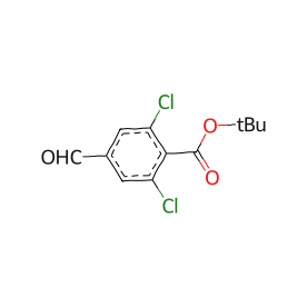 CC(C)(C)OC(=O)c1c(Cl)cc(C=O)cc1Cl